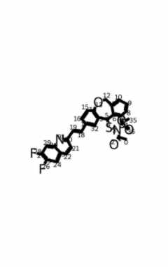 CC(=O)N(SC1c2ccccc2COc2ccc(/C=C/c3ccc4cc(F)c(F)cc4n3)cc21)S(C)(=O)=O